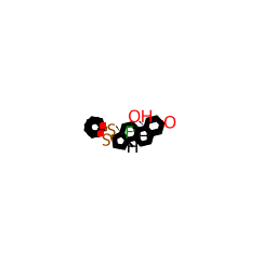 C[C@]12C[C@H](O)[C@@]3(F)[C@@H](CCC4=CC(=O)C=C[C@@]43C)[C@@H]1CCC2(Sc1ccccc1)Sc1ccccc1